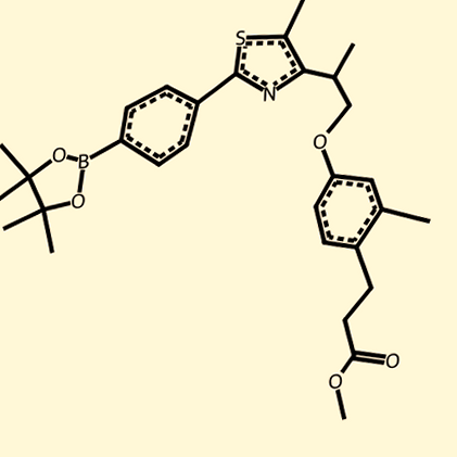 COC(=O)CCc1ccc(OCC(C)c2nc(-c3ccc(B4OC(C)(C)C(C)(C)O4)cc3)sc2C)cc1C